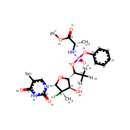 [2H]c1cn([C@@H]2O[C@H](C(O[P@@](=O)(N[C@@H](C)C(=O)OC(C)C)Oc3ccccc3)C([2H])([2H])[2H])[C@@H](O)[C@@]2(C)F)c(=O)[nH]c1=O